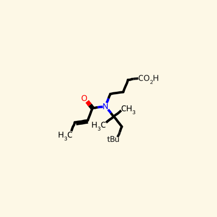 C/C=C/C(=O)N(CCCC(=O)O)C(C)(C)CC(C)(C)C